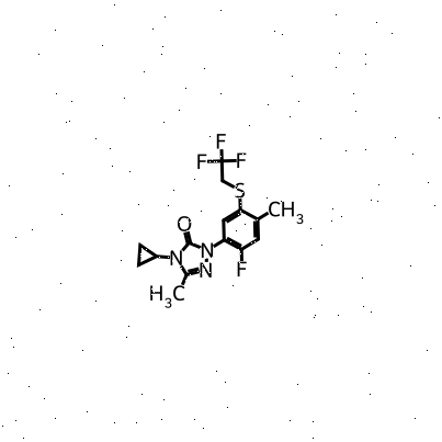 Cc1cc(F)c(-n2nc(C)n(C3CC3)c2=O)cc1SCC(F)(F)F